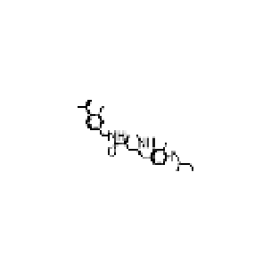 C=C(/C=C(/Cc1ccc(/N=C(\C)CC)c(C)c1)NC)C(=O)NCc1ccc(C(=C)C)c(C)c1